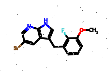 COc1cccc(Cc2c[nH]c3ncc(Br)cc23)c1F